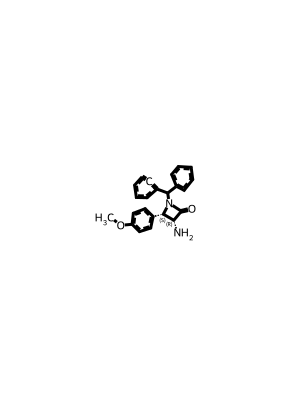 COc1ccc([C@H]2[C@@H](N)C(=O)N2C(c2ccccc2)c2ccccc2)cc1